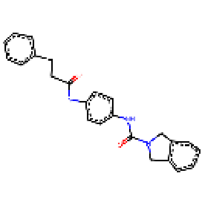 O=C(CCc1ccccc1)Nc1ccc(NC(=O)N2Cc3ccccc3C2)cc1